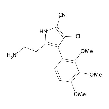 COc1ccc(-c2c(CCN)[nH]c(C#N)c2Cl)c(OC)c1OC